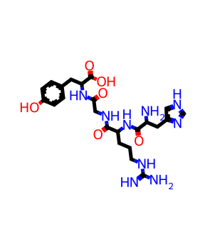 N=C(N)NCCCC(NC(=O)C(N)Cc1c[nH]cn1)C(=O)NCC(=O)NC(Cc1ccc(O)cc1)C(=O)O